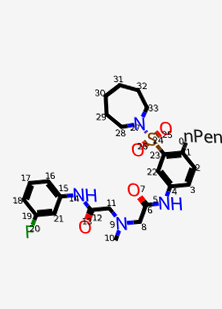 CCCCCc1ccc(NC(=O)CN(C)CC(=O)Nc2cccc(F)c2)cc1S(=O)(=O)N1CCCCCC1